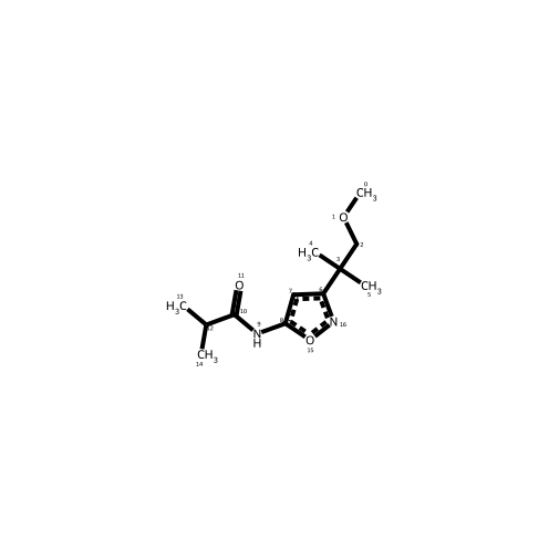 COCC(C)(C)c1cc(NC(=O)C(C)C)on1